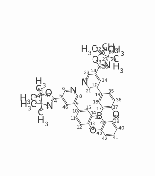 CC1(C)N=C(c2cncc(-c3ccc4c(c3)B3c5cc(-c6cncc(C7=NC(C)(C)C(C)(C)O7)c6)ccc5Oc5cccc(c53)O4)c2)OC1(C)C